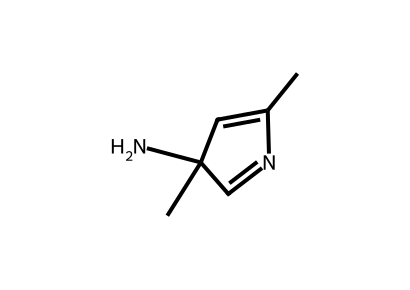 CC1=CC(C)(N)C=N1